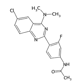 CC(=O)Nc1ccc(-c2nc(N(C)C)c3cc(Cl)ccc3n2)c(F)c1